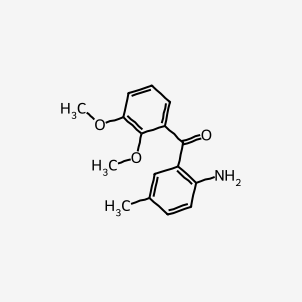 COc1cccc(C(=O)c2cc(C)ccc2N)c1OC